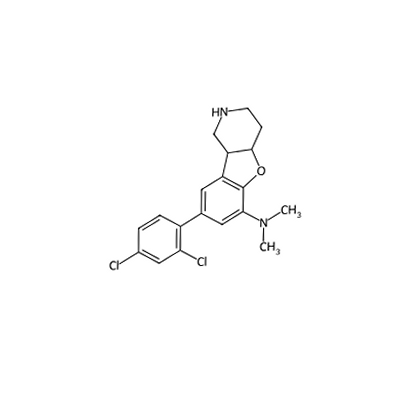 CN(C)c1cc(-c2ccc(Cl)cc2Cl)cc2c1OC1CCNCC21